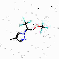 Cc1cnn(C(COC(F)(F)F)C(F)(F)F)c1